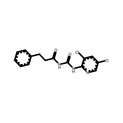 O=C(CCc1ccccc1)NC(=O)Nc1ncc(Cl)cc1Cl